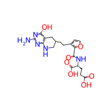 Nc1nc(O)c2c(n1)NCC(CCc1ccoc1C(=O)N[C@@H](CCC(=O)O)C(=O)O)C2